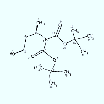 C[C@H](CCO)N(C(=O)OC(C)(C)C)C(=O)OC(C)(C)C